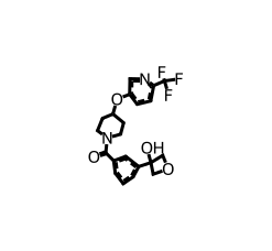 O=C(c1cccc(C2(O)COC2)c1)N1CCC(Oc2ccc(C(F)(F)F)nc2)CC1